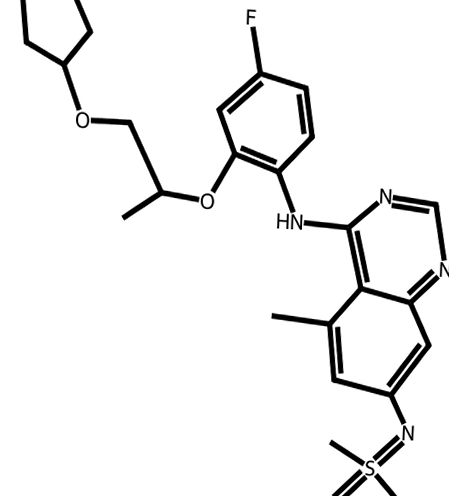 Cc1cc(N=S(C)(C)=O)cc2ncnc(Nc3ccc(F)cc3OC(C)COC3CCOC3)c12